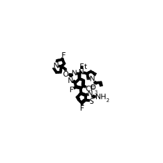 C=CC(=O)N1CCC(N(CC)c2nc(OCC34CCCN3CC(F)C4)nc3c(F)c(-c4ccc(F)c5sc(N)nc45)c(C(F)(F)F)cc23)C1